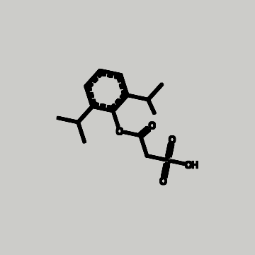 CC(C)c1cccc(C(C)C)c1OC(=O)CS(=O)(=O)O